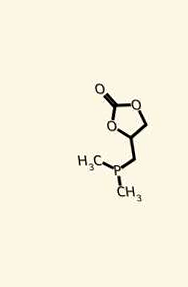 CP(C)CC1COC(=O)O1